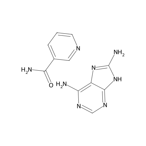 NC(=O)c1cccnc1.Nc1nc2c(N)ncnc2[nH]1